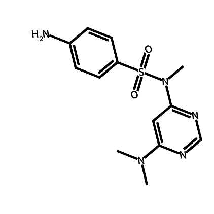 CN(C)c1cc(N(C)S(=O)(=O)c2ccc(N)cc2)ncn1